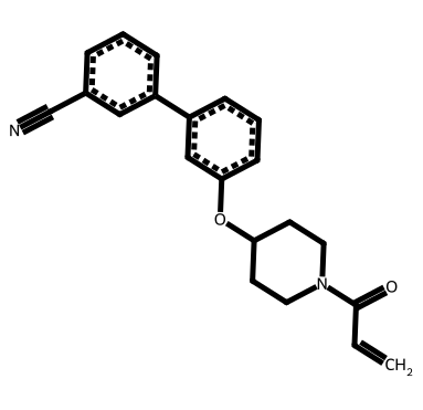 C=CC(=O)N1CCC(Oc2cccc(-c3cccc(C#N)c3)c2)CC1